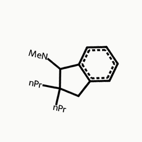 CCCC1(CCC)Cc2ccccc2C1NC